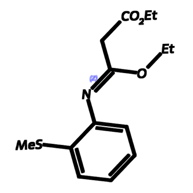 CCOC(=O)C/C(=N/c1ccccc1SC)OCC